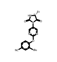 CC[C@H]1NC(=O)N(c2cnc(Oc3ccc(C#N)cc3C(C)(C)C)nc2)C1=O